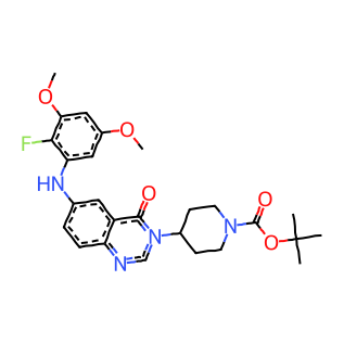 COc1cc(Nc2ccc3ncn(C4CCN(C(=O)OC(C)(C)C)CC4)c(=O)c3c2)c(F)c(OC)c1